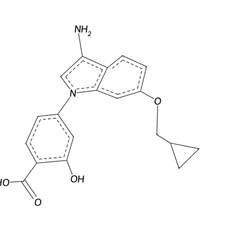 Nc1cn(-c2ccc(C(=O)O)c(O)c2)c2cc(OCC3CC3)ccc12